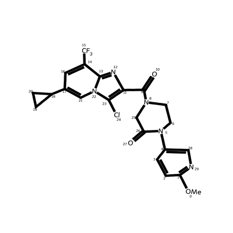 COc1ccc(N2CCN(C(=O)c3nc4c(C(F)(F)F)cc(C5CC5)cn4c3Cl)CC2=O)cn1